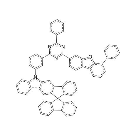 c1ccc(-c2nc(-c3cccc(-n4c5ccccc5c5cc6c(cc54)-c4ccccc4C64c5ccccc5-c5ccccc54)c3)nc(-c3ccc4c(c3)oc3c(-c5ccccc5)cccc34)n2)cc1